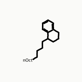 CCCCCCCCCCCCC1CCCc2ccccc21